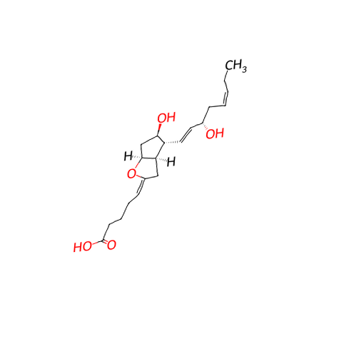 CC/C=C\C[C@H](O)/C=C/[C@@H]1[C@H]2C/C(=C/CCCC(=O)O)O[C@H]2C[C@H]1O